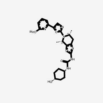 COc1cccc(-c2cnc(N3[C@H](C)Cc4nc(NC(=O)N[C@H]5CC[C@@H](O)CC5)sc4[C@@H]3C)o2)n1